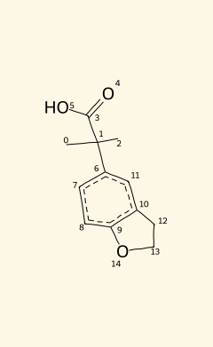 CC(C)(C(=O)O)c1ccc2c(c1)CCO2